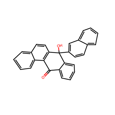 O=C1c2ccccc2C(O)(c2ccc3ccccc3c2)c2ccc3ccccc3c21